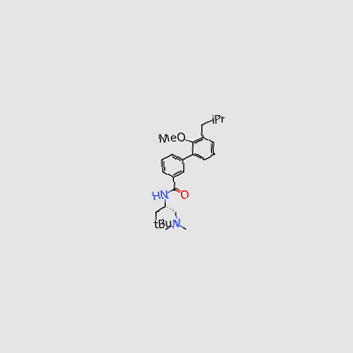 COc1c(CC(C)C)cccc1-c1cccc(C(=O)N[C@H](CN(C)C)CC(C)(C)C)c1